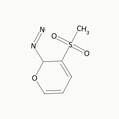 CS(=O)(=O)C1=CC=COC1N=[N]